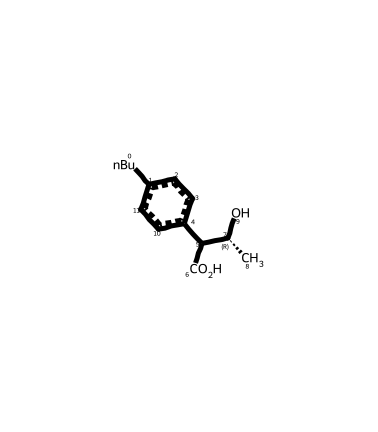 CCCCc1ccc(C(C(=O)O)[C@@H](C)O)cc1